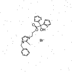 Cc1n(CCOC(=O)C(O)(c2cccs2)c2cccs2)cc[n+]1Cc1ccccc1.[Br-]